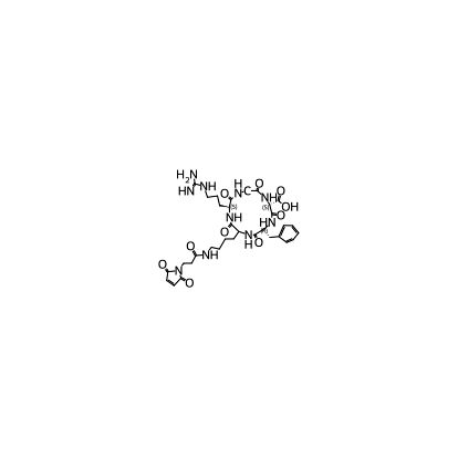 N=C(N)NCCC[C@@H]1NC(=O)C(CCCCNC(=O)CCN2C(=O)C=CC2=O)NC(=O)[C@@H](Cc2ccccc2)NC(=O)[C@@H](C(=O)O)NC(=O)CNC1=O